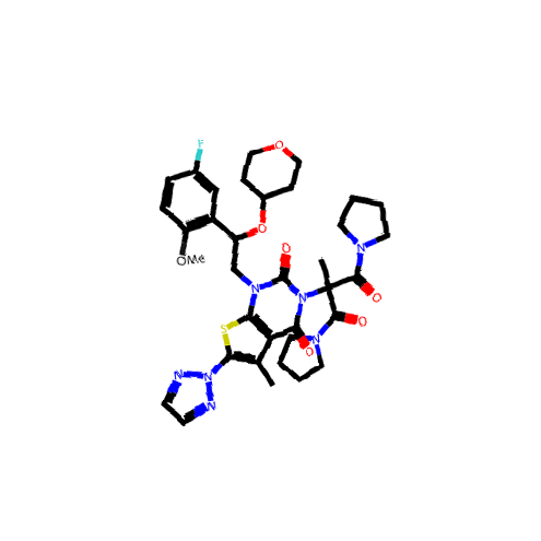 COc1ccc(F)cc1C(Cn1c(=O)n(C(C)(C(=O)N2CCCC2)C(=O)N2CCCC2)c(=O)c2c(C)c(-n3nccn3)sc21)OC1CCOCC1